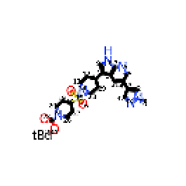 Cn1cc(-c2cnc3[nH]cc(C4CCN(S(=O)(=O)C5CCN(C(=O)OC(C)(C)C)CC5)CC4)c3c2)cn1